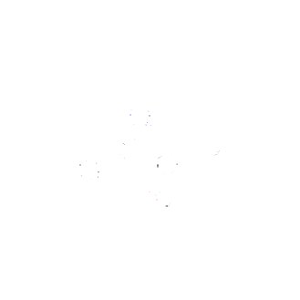 C#CCOc1cc(-n2nc(C(C)(C)C)oc2=O)c(Cl)cc1Cl.O=C(Nc1nc(OC(F)F)cc(OC(F)F)n1)NS(=O)(=O)c1ccccc1C(=O)O